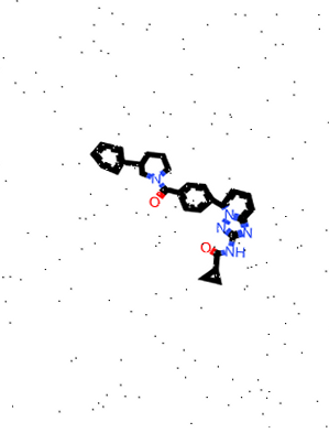 O=C(Nc1nc2cccc(-c3ccc(C(=O)N4CCCC(c5ccccc5)C4)cc3)n2n1)C1CC1